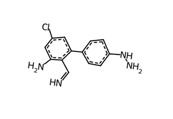 N=Cc1c(N)cc(Cl)cc1-c1ccc(NN)cc1